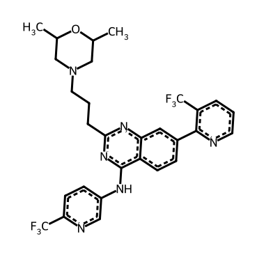 CC1CN(CCCc2nc(Nc3ccc(C(F)(F)F)nc3)c3ccc(-c4ncccc4C(F)(F)F)cc3n2)CC(C)O1